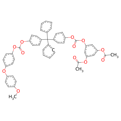 COc1ccc(Oc2ccc(OC(=O)Oc3ccc(C(c4ccccc4)(c4ccccc4)c4ccc(OC(=O)Oc5cc(OC(C)=O)cc(OC(C)=O)c5)cc4)cc3)cc2)cc1